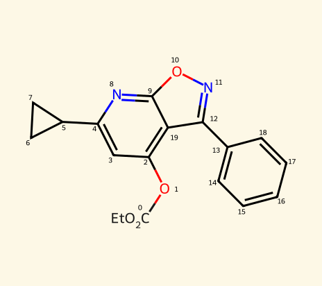 CCOC(=O)Oc1cc(C2CC2)nc2onc(-c3ccccc3)c12